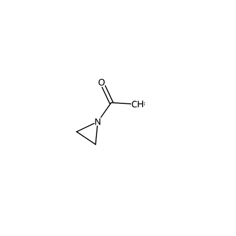 [CH]C(=O)N1CC1